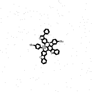 CC(C)(C)c1ccc(Nc2cc3oc4ccccc4c3cc2-c2c3c4c(c5cc(C(C)(C)C)ccc5n4-c4cc5c(-c6ccccc6)coc5cc4B3)c3c2sc2ccccc23)cc1